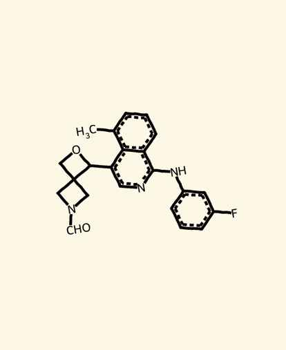 Cc1cccc2c(Nc3cccc(F)c3)ncc(C3OCC34CN(C=O)C4)c12